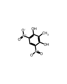 Cc1c(O)c([N+](=O)[O-])cc([N+](=O)[O-])c1O